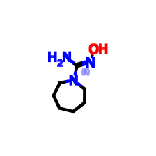 N/C(=N\O)N1CCCCCC1